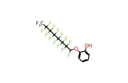 Oc1ccccc1OC(F)C(F)(F)C(F)(F)C(F)(F)C(F)(F)C(F)(F)C(F)(F)C(F)(F)F